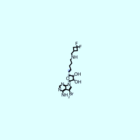 Nc1ncnc2c1c(Br)cn2[C@@H]1O[C@H](/C=C/CCCNCC2CC(F)(F)C2)[C@@H](O)[C@H]1O